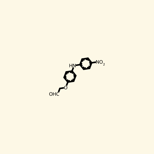 O=CCOc1ccc(Nc2ccc([N+](=O)[O-])cc2)cc1